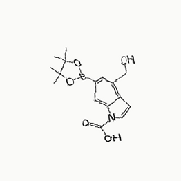 CC1(C)OB(c2cc(CO)c3ccn(C(=O)O)c3c2)OC1(C)C